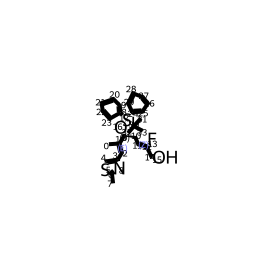 C/C(=C\c1csc(C)n1)[C@H](C/C=C(\F)CO)O[Si](c1ccccc1)(c1ccccc1)C(C)(C)C